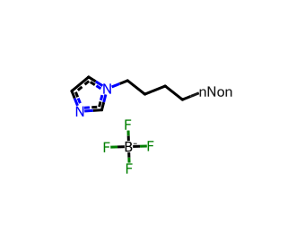 CCCCCCCCCCCCCn1ccnc1.F[B-](F)(F)F